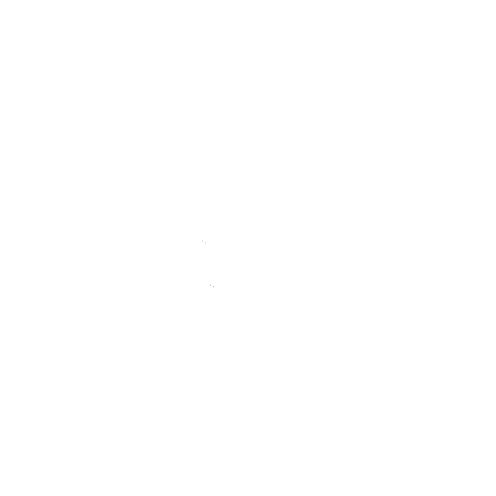 CCOC(=O)CCCNC(c1ccccc1)C1CSc2c(Cc3c(F)cccc3C(F)(F)F)c(C)c(-c3ccc(Oc4ccccc4)cc3F)c(=O)n21